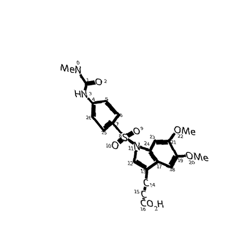 CNC(=O)Nc1ccc(S(=O)(=O)n2cc(CCC(=O)O)c3cc(OC)c(OC)cc32)cc1